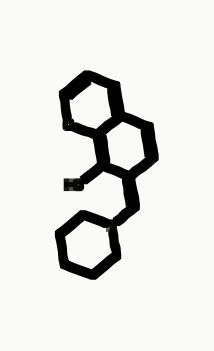 Oc1c2c(ccc1=CN1CCCCC1)=CC=CO2